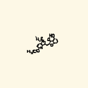 COc1ccc2c(n1)c(/C=C1/Oc3cccc(O)c3C1=O)cn2C